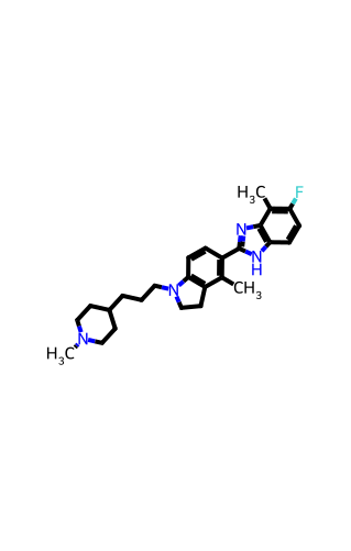 Cc1c(-c2nc3c(C)c(F)ccc3[nH]2)ccc2c1CCN2CCCC1CCN(C)CC1